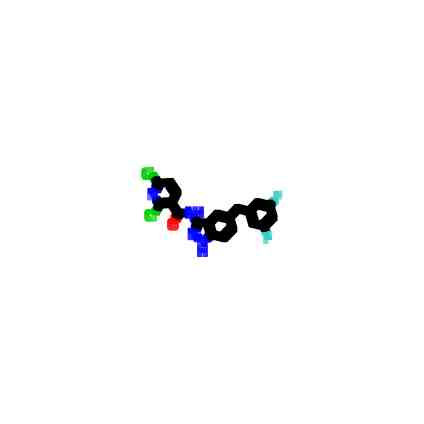 O=C(Nc1n[nH]c2ccc(Cc3cc(F)cc(F)c3)cc12)c1ccc(Cl)nc1Cl